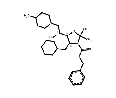 CC1CCN(C[C@@H](O)[C@H]2OC(C)(C)N(C(=O)OCc3ccccc3)[C@H]2CC2CCCCC2)CC1